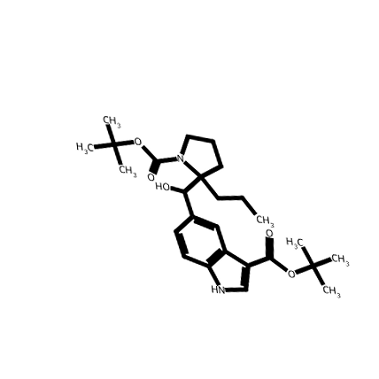 CCCC1(C(O)c2ccc3[nH]cc(C(=O)OC(C)(C)C)c3c2)CCCN1C(=O)OC(C)(C)C